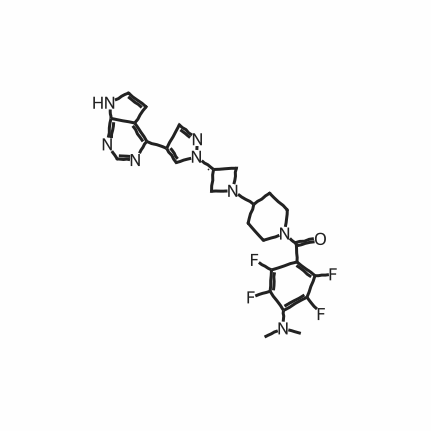 CN(C)c1c(F)c(F)c(C(=O)N2CCC(N3C[C](n4cc(-c5ncnc6[nH]ccc56)cn4)C3)CC2)c(F)c1F